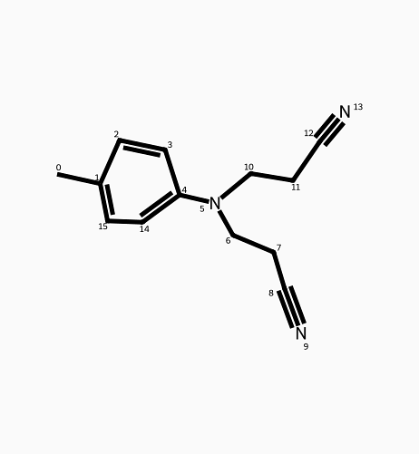 Cc1ccc(N(CCC#N)CCC#N)cc1